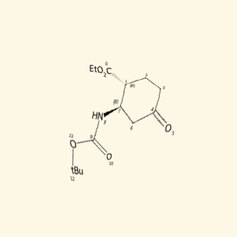 CCOC(=O)[C@@H]1CCC(=O)C[C@H]1NC(=O)OC(C)(C)C